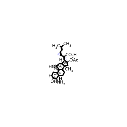 CC(=O)O[C@H]1C[C@@]2(C)[C@@H](C[C@@H](O)[C@H]3[C@@]4(C)CC[C@@H](O)[C@@H](N)[C@@H]4CC[C@@]32CN)/C1=C(\C=C/C=C(C)C)C(=O)O